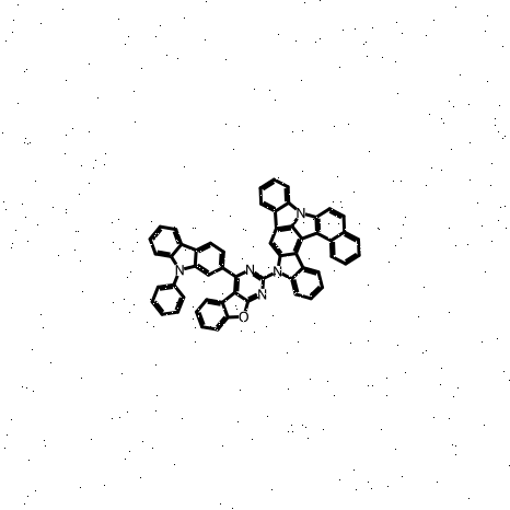 c1ccc(-n2c3ccccc3c3ccc(-c4nc(-n5c6ccccc6c6c7c8c9ccccc9ccc8n8c9ccccc9c(cc65)c78)nc5oc6ccccc6c45)cc32)cc1